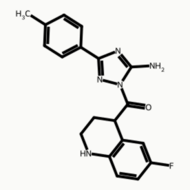 Cc1ccc(-c2nc(N)n(C(=O)C3CCNc4ccc(F)cc43)n2)cc1